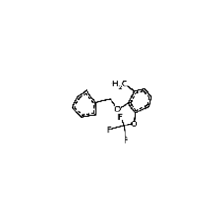 [CH2]c1cccc(OC(F)(F)F)c1OCc1ccccc1